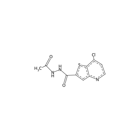 CC(=O)NNC(=O)c1cc2nccc(Cl)c2s1